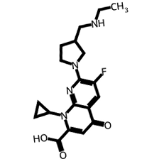 CCNCC1CCN(c2nc3c(cc2F)c(=O)cc(C(=O)O)n3C2CC2)C1